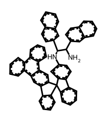 NC(c1ccc2ccccc2c1)[C@@H](Nc1ccc2c(c1)C1(c3ccccc3-2)c2ccccc2-c2cc3c4ccccc4c4ccccc4c3cc21)c1ccc2ccccc2c1